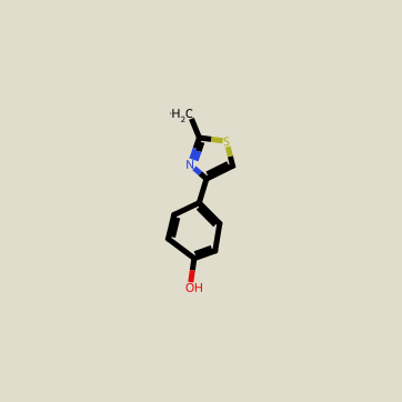 [CH2]c1nc(-c2ccc(O)cc2)cs1